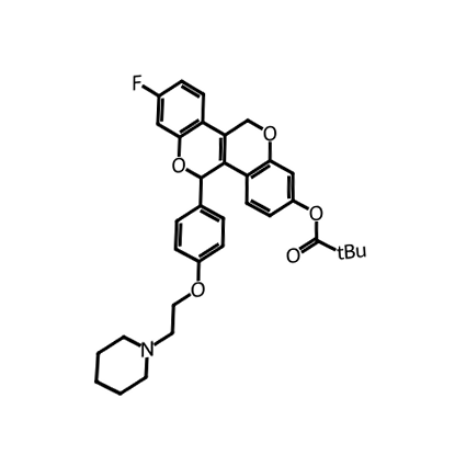 CC(C)(C)C(=O)Oc1ccc2c(c1)OCC1=C2C(c2ccc(OCCN3CCCCC3)cc2)Oc2cc(F)ccc21